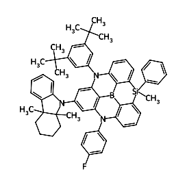 CC(C)(C)c1cc(N2c3cc(N4c5ccccc5C5(C)CCCCC45C)cc4c3B3c5c(cccc5[Si](C)(c5ccccc5)c5cccc2c53)N4c2ccc(F)cc2)cc(C(C)(C)C)c1